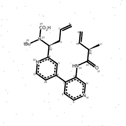 C=CC[C@@H](c1cc(-c2ccncc2NC(=O)[C@H](C)C=C)ccn1)N(C(=O)O)C(C)(C)C